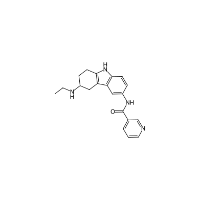 CCNC1CCc2[nH]c3ccc(NC(=O)c4cccnc4)cc3c2C1